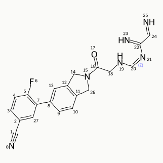 N#Cc1ccc(F)c(-c2ccc3c(c2)CN(C(=O)CN/C=N\C(=N)C=N)C3)c1